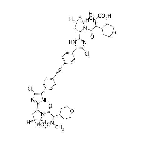 CN(C(=O)O)[C@H](C(=O)N1[C@@H]2C[C@@H]2C[C@H]1c1nc(Cl)c(-c2ccc(C#Cc3ccc(-c4[nH]c([C@@H]5C[C@H]6C[C@H]6N5C(=O)[C@H](C5CCOCC5)N(C)C(=O)O)nc4Cl)cc3)cc2)[nH]1)C1CCOCC1